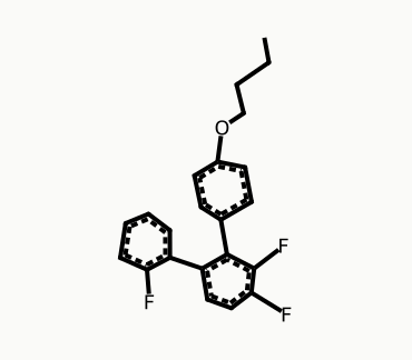 CCCCOc1ccc(-c2c(-c3ccccc3F)ccc(F)c2F)cc1